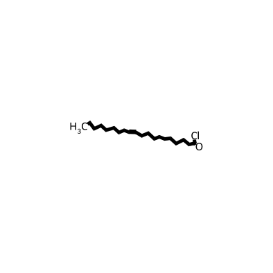 CCCCCCCCC=CCCCCCCCCCC(=O)Cl